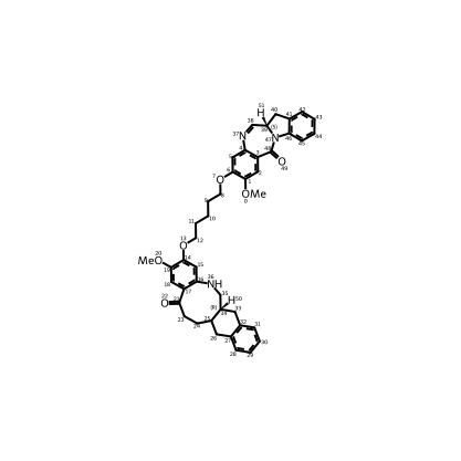 COc1cc2c(cc1OCCCCCOc1cc3c(cc1OC)C(=O)CCC1Cc4ccccc4C[C@H]1CN3)N=C[C@@H]1Cc3ccccc3N1C2=O